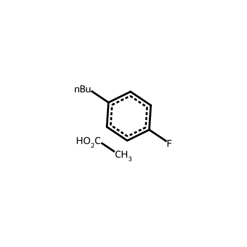 CC(=O)O.CCCCc1ccc(F)cc1